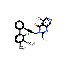 Cc1nc2cncc(C#N)c2c(=O)n1CC#Cc1ccccc1-c1ccc(C(=O)O)c(C(=O)O)c1Cl